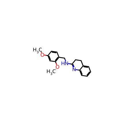 COc1ccc(CNC2=Nc3ccccc3CC2)c(OC)c1